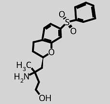 CC(N)(CCO)C[C@H]1CCc2ccc(S(=O)(=O)c3ccccc3)cc2O1